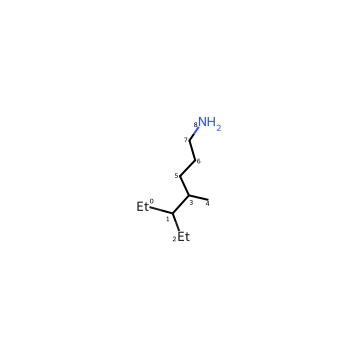 CCC(CC)C(C)CCCN